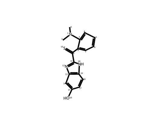 CN(C)c1ccccc1C(=S)c1nc2cc(O)ccc2[nH]1